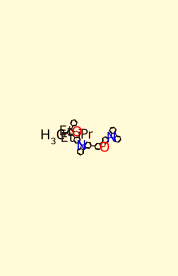 CCC(C)(CC)c1cc(-c2ccccc2)c(OC(C)C)c(-c2ccc(-n3c4ccccc4c4cc(-c5ccc6oc7cc(-n8c9ccccc9c9ccccc98)ccc7c6c5)ccc43)cc2)c1